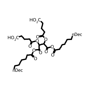 CCCCCCCCCCCCCCCC(=O)OC(=O)C(OC(=O)CCCC(=O)O)C(OC(=O)CCCC(=O)O)C(=O)OC(=O)CCCCCCCCCCCCCCC